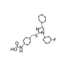 O=C(O)Nc1ccc(CSc2nc(-c3ccccc3)cn2-c2cccc(F)c2)cc1